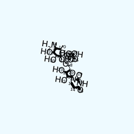 C[C@H]1O[C@@H](OP(=O)(OC[C@@H]2O[C@H](n3ccc(=O)[nH]c3=O)C(O)C2O)OP(=O)(O)O)[C@H](O)[C@@H](O)[C@@H]1N